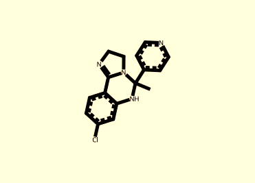 CC1(c2ccncc2)Nc2cc(Cl)ccc2C2=NCCN21